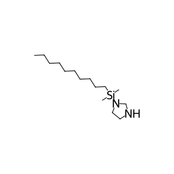 CCCCCCCCCC[Si](C)(C)N1CCNC1